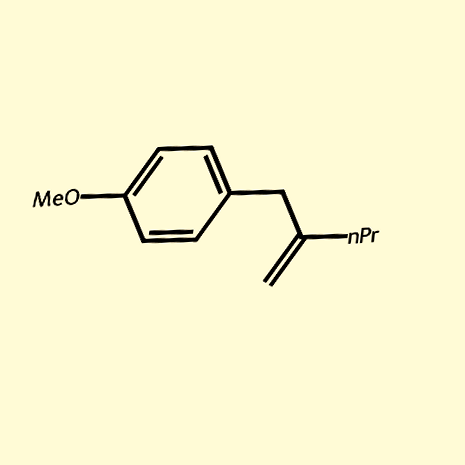 C=C(CCC)Cc1ccc(OC)cc1